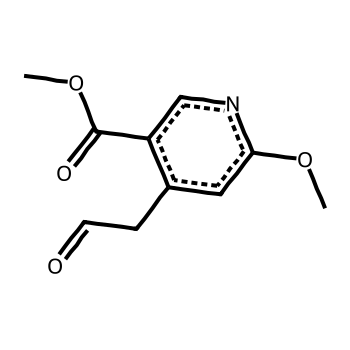 COC(=O)c1cnc(OC)cc1CC=O